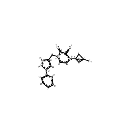 O=c1c(=O)n(C23CC(F)(C2)C3)ccn1Cc1cn(-c2ccccn2)nn1